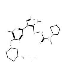 Cc1nc(-c2cnn(C)c2COC(=O)N(C)C2CCCC2)ccc1O[C@@H]1CCC[C@@H](C(=O)O)C1